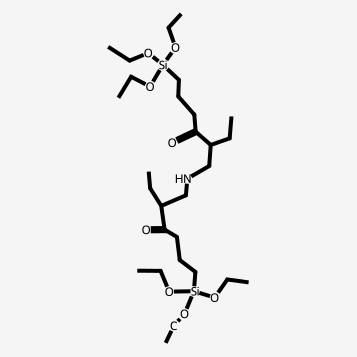 CCO[Si](CCCC(=O)C(CC)CNCC(CC)C(=O)CCC[Si](OCC)(OCC)OCC)(OCC)OCC